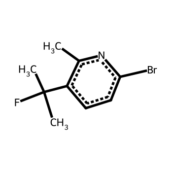 Cc1nc(Br)ccc1C(C)(C)F